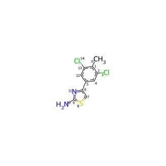 Cc1c(Cl)cc(-c2csc(N)n2)cc1Cl